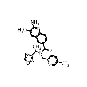 Cc1cc2cc(C(=O)N(Cc3ccc(C(F)(F)F)cn3)[C@H](C)c3ncon3)ccc2nc1N